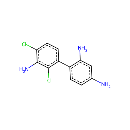 Nc1ccc(-c2ccc(Cl)c(N)c2Cl)c(N)c1